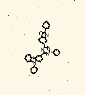 c1ccc(-c2nc(-c3ccc4oc(-c5ccccc5)nc4c3)nc(-c3ccc4c(c3)c3ccccc3n4-c3ccccc3)n2)cc1